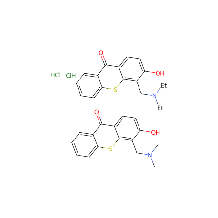 CCN(CC)Cc1c(O)ccc2c(=O)c3ccccc3sc12.CN(C)Cc1c(O)ccc2c(=O)c3ccccc3sc12.Cl.Cl